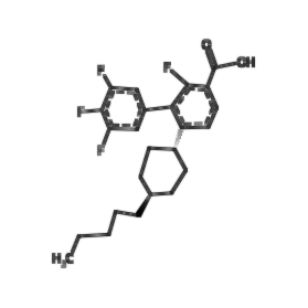 CCCCC[C@H]1CC[C@H](c2ccc(C(=O)O)c(F)c2-c2cc(F)c(F)c(F)c2)CC1